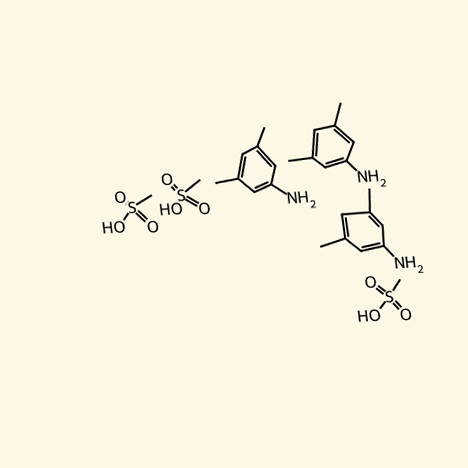 CS(=O)(=O)O.CS(=O)(=O)O.CS(=O)(=O)O.Cc1cc(C)cc(N)c1.Cc1cc(C)cc(N)c1.Cc1cc(C)cc(N)c1